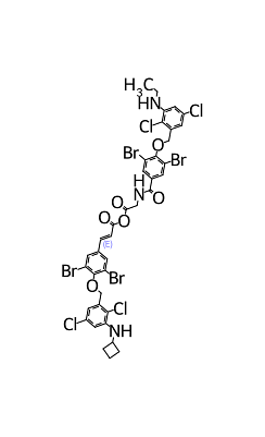 CCNc1cc(Cl)cc(COc2c(Br)cc(C(=O)NCC(=O)OC(=O)/C=C/c3cc(Br)c(OCc4cc(Cl)cc(NC5CCC5)c4Cl)c(Br)c3)cc2Br)c1Cl